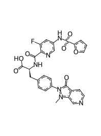 Cn1c2cnccc2c(=O)n1-c1ccc(C[C@H](NC(=O)c2ncc(NS(=O)(=O)c3ccco3)cc2F)C(=O)O)cc1